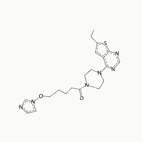 CCc1cc2c(N3CCN(C(=O)CCCCOn4ccnc4)CC3)ncnc2s1